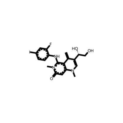 C=C1C([C@H](O)CO)=CN(C)c2cc(=O)n(C)c(Nc3ccc(I)cc3F)c21